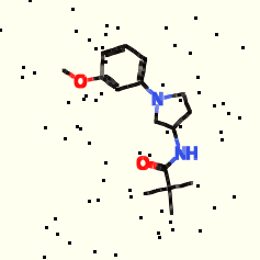 COc1cccc(N2CCC(NC(=O)C(C)(C)C)C2)c1